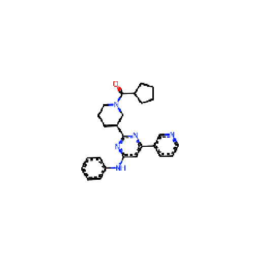 O=C(C1CCCC1)N1CCCC(c2nc(Nc3ccccc3)cc(-c3cccnc3)n2)C1